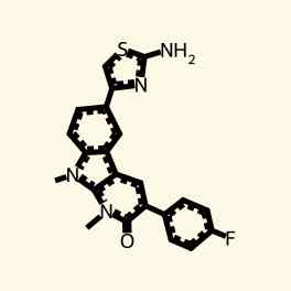 Cn1c(=O)c(-c2ccc(F)cc2)cc2c3cc(-c4csc(N)n4)ccc3n(C)c21